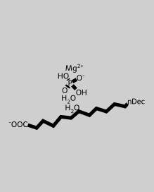 CCCCCCCCCCCCCCCCCCCCCC(=O)[O-].O.O.O=P([O-])(O)O.[Mg+2]